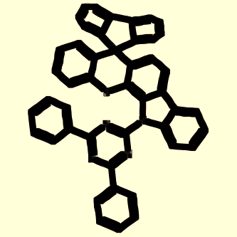 c1ccc(-c2nc(-c3ccccc3)nc(-n3c4ccccc4c4ccc5c(c43)Sc3ccccc3C53c4ccccc4-c4ccccc43)n2)cc1